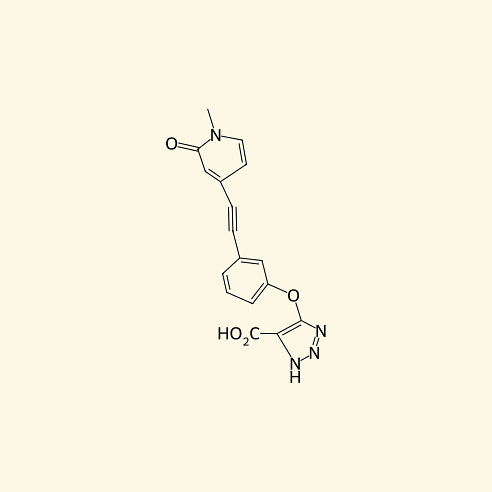 Cn1ccc(C#Cc2cccc(Oc3nn[nH]c3C(=O)O)c2)cc1=O